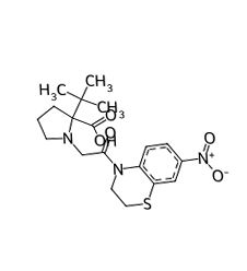 CC(C)(C)C1(C(=O)O)CCCN1CC(=O)N1CCSc2cc([N+](=O)[O-])ccc21